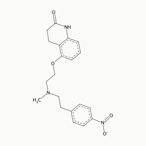 CN(CCOc1cccc2c1CCC(=O)N2)CCc1ccc([N+](=O)[O-])cc1